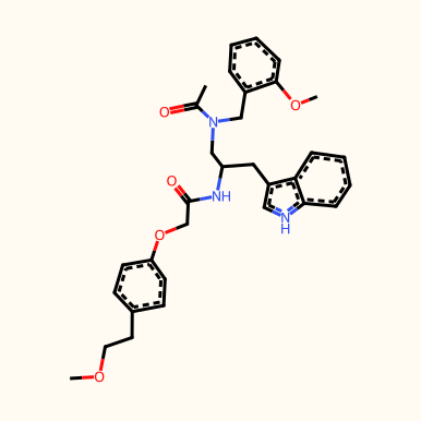 COCCc1ccc(OCC(=O)NC(Cc2c[nH]c3ccccc23)CN(Cc2ccccc2OC)C(C)=O)cc1